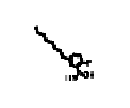 CCCCCCCCc1ccc(F)c(B(O)O)c1